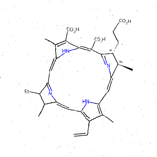 C=Cc1c(C)c2cc3nc(c(C(=O)O)c4[nH]c(cc5nc(cc1[nH]2)C(C)C5CC)c(C)c4C(=O)O)[C@H](CCC(=O)O)[C@H]3C